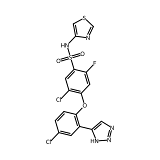 O=S(=O)(Nc1cscn1)c1cc(Cl)c(Oc2ccc(Cl)cc2-c2cnn[nH]2)cc1F